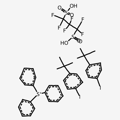 CC(C)(C)c1ccc(I)cc1.CC(C)(C)c1ccc(I)cc1.O=S(=O)(O)C(F)(F)C(F)(F)C(F)(F)S(=O)(=O)O.c1ccc([S+](c2ccccc2)c2ccccc2)cc1